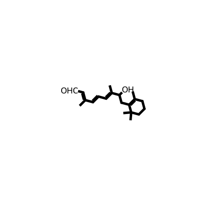 CC(C=CC=C(C)C(O)CC1=C(C)CCCC1(C)C)=CC=O